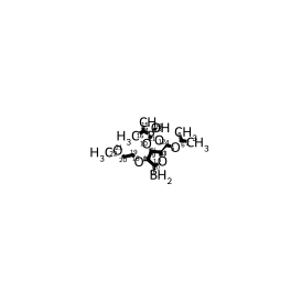 B[C@@H]1O[C@H](COC(C)C)[C@@H](OP(=O)(O)C(C)C)[C@H]1OCCOC